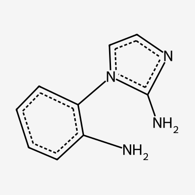 Nc1ccccc1-n1ccnc1N